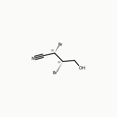 N#C[C@H](Br)[C@@H](Br)CO